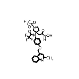 Cc1cc(COc2ccc(N(C(=O)C(F)(F)F)C3(CC(=O)NO)CCN(S(C)(=O)=O)C3)cc2)c2ccccc2n1